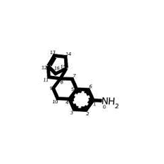 Nc1ccc2c(c1)CC1(CC2)CC2=CCC1C2